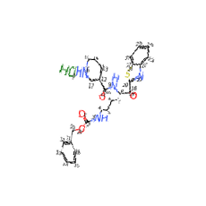 Cl.O=C(NCCCC[C@H](NC(=O)[C@@H]1CCCNC1)C(=O)c1nc2ccccc2s1)OCc1ccccc1